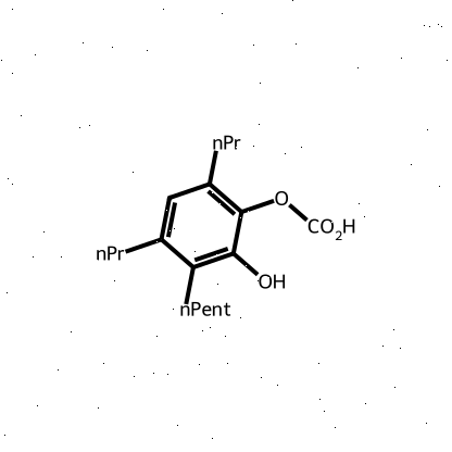 CCCCCc1c(CCC)cc(CCC)c(OC(=O)O)c1O